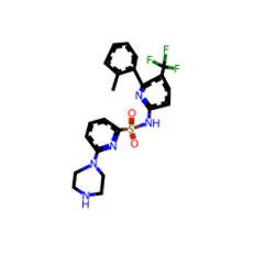 Cc1ccccc1-c1nc(NS(=O)(=O)c2cccc(N3CCNCC3)n2)ccc1C(F)(F)F